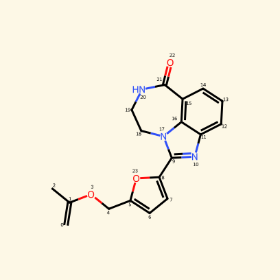 C=C(C)OCc1ccc(-c2nc3cccc4c3n2CCNC4=O)o1